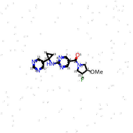 CO[C@@H]1CN(C(=O)c2cnc(NC3(c4cncnc4)CC3)nc2)C[C@H]1F